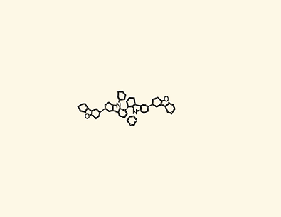 c1ccc(-n2c3ccc(-c4ccc5oc6ccccc6c5c4)cc3c3cccc(-c4cccc5c6cc(-c7ccc8oc9ccccc9c8c7)ccc6n(-c6ccccc6)c45)c32)cc1